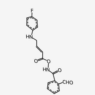 O=Cc1ccccc1C(=O)NOC(=O)C=CCNc1ccc(F)cc1